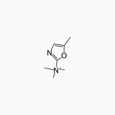 Cc1cnc([N+](C)(C)C)o1